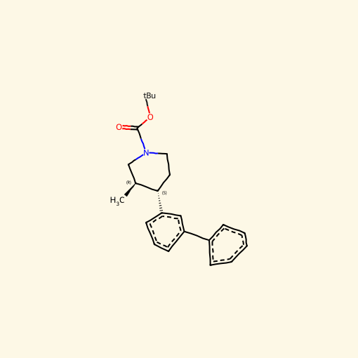 C[C@H]1CN(C(=O)OC(C)(C)C)CC[C@@H]1c1cccc(-c2ccccc2)c1